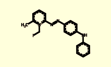 Cc1cccc(/N=N/c2ccc(Nc3ccccc3)cc2)[n+]1CI